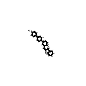 N#Cc1ccc(-c2ccc(-c3ccc4nc5c(cc4c3)sc3ccccc35)cc2)cc1